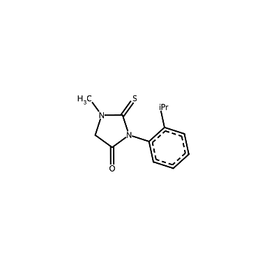 CC(C)c1ccccc1N1C(=O)CN(C)C1=S